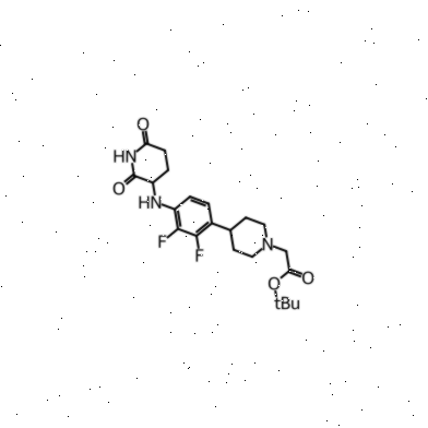 CC(C)(C)OC(=O)CN1CCC(c2ccc(NC3CCC(=O)NC3=O)c(F)c2F)CC1